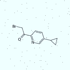 O=C(CBr)c1ccc(C2CC2)cn1